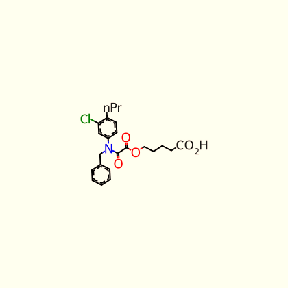 CCCc1ccc(N(Cc2ccccc2)C(=O)C(=O)OCCCCC(=O)O)cc1Cl